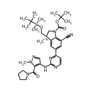 Cn1ncc(Nc2nccc(-c3cc(C#N)c4c(c3)[C@@](C)(CO[Si](C)(C)C(C)(C)C)CN4C(=O)OC(C)(C)C)n2)c1C(=O)N1CCCC1